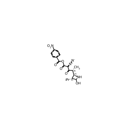 CC(C)[C@H]1C(O)N[C@@H]1[C@@H](C)C(=O)C(=[N+]=[N-])C(=O)OC(=O)c1ccc([N+](=O)[O-])cc1